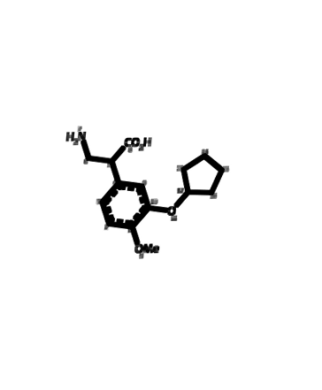 COc1ccc(C(CN)C(=O)O)cc1OC1CCCC1